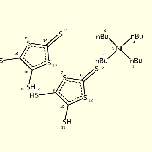 CCC[CH2][Ni]([CH2]CCC)([CH2]CCC)[CH2]CCC.S=c1sc(S)c(S)s1.S=c1sc(S)c(S)s1